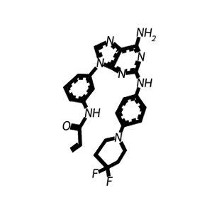 C=CC(=O)Nc1cccc(-n2cnc3c(N)nc(Nc4ccc(N5CCC(F)(F)CC5)cc4)nc32)c1